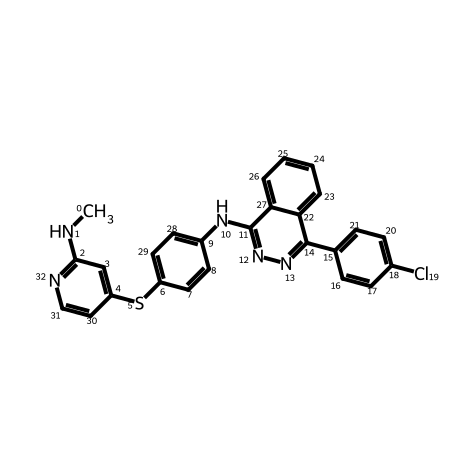 CNc1cc(Sc2ccc(Nc3nnc(-c4ccc(Cl)cc4)c4ccccc34)cc2)ccn1